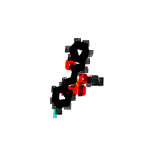 CCC(C)OP(=O)(O)C(Cc1ccc(F)cc1)c1cc2ccccc2o1